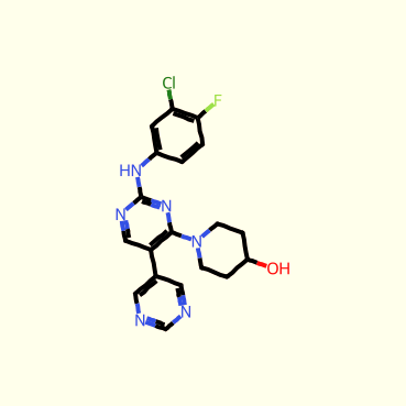 OC1CCN(c2nc(Nc3ccc(F)c(Cl)c3)ncc2-c2cncnc2)CC1